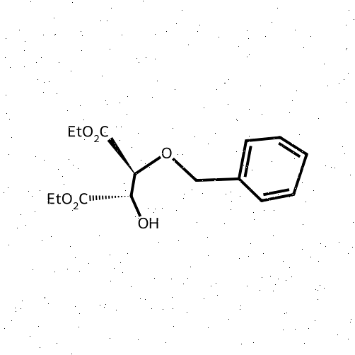 CCOC(=O)[C@@H](O)[C@H](OCc1ccccc1)C(=O)OCC